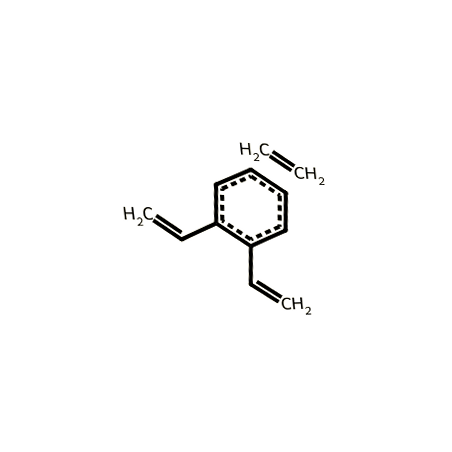 C=C.C=Cc1ccccc1C=C